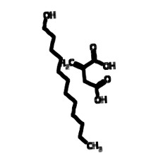 C=C(CC(=O)O)C(=O)O.CCCCCCCCCCCCO